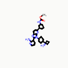 COC(=O)Nc1cccc(-c2ccc3nc(-c4cccnc4N)n(-c4ccc(C5(N)CCC5)cc4)c3n2)c1